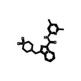 Cc1cc(C)nc(NC(=O)c2nc(CN3CCS(=O)(=O)CC3)c3ccccn23)c1